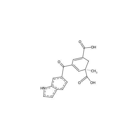 C[C@]1(C(=O)O)C=C(C(=O)c2ccc3cc[nH]c3c2)C=C(C(=O)O)C1